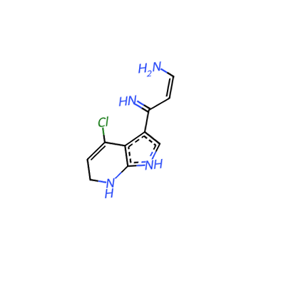 N=C(/C=C\N)c1c[nH]c2c1C(Cl)=CCN2